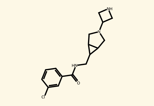 O=C(NCC1C2CN(C3CNC3)CC12)c1cccc(Cl)c1